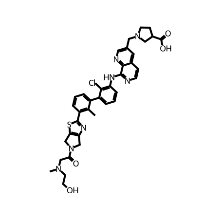 Cc1c(-c2nc3c(s2)CN(C(=O)CN(C)CCO)C3)cccc1-c1cccc(Nc2nccc3cc(CN4CCC(C(=O)O)C4)cnc23)c1Cl